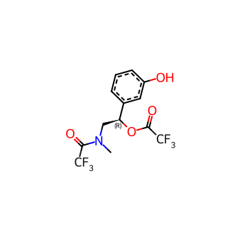 CN(C[C@H](OC(=O)C(F)(F)F)c1cccc(O)c1)C(=O)C(F)(F)F